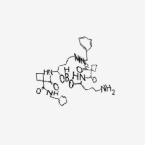 NCCCC(NC(=O)C1(C(=O)NCc2ccccc2)CCC1)OBOC(CCCN)NC(=O)C1(C(=O)NCc2ccccc2)CCC1